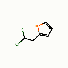 ClC(Cl)Cc1ccc[pH]1